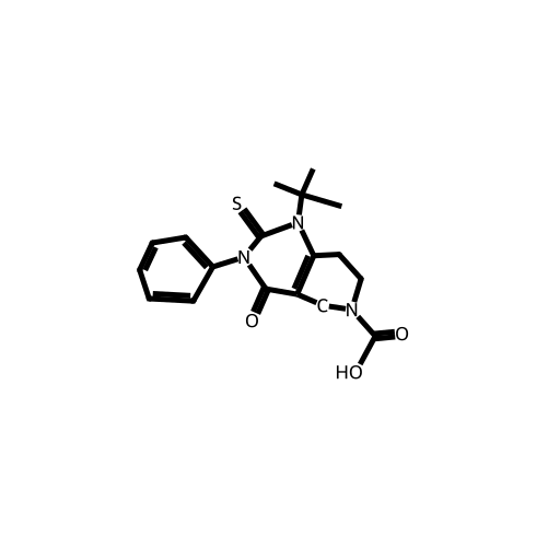 CC(C)(C)n1c2c(c(=O)n(-c3ccccc3)c1=S)CN(C(=O)O)CC2